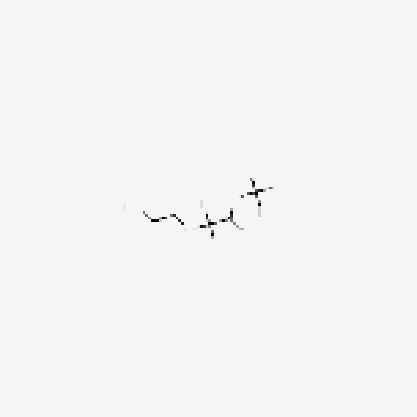 OCCOC(F)(F)C(F)OC(F)(F)C(F)(F)F